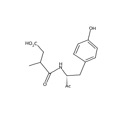 CC(=O)[C@@H](Cc1ccc(O)cc1)NC(=O)C(C)CC(=O)O